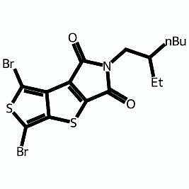 CCCCC(CC)CN1C(=O)c2sc3c(Br)sc(Br)c3c2C1=O